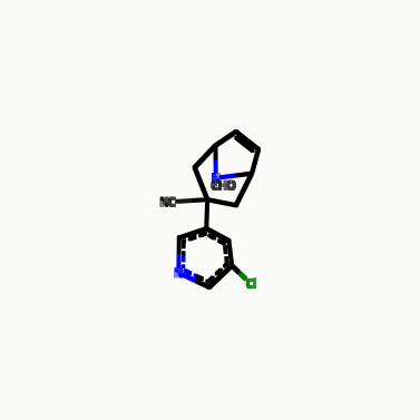 N#CC1(c2cncc(Cl)c2)CC2C=CC(C1)N2C=O